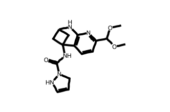 COC(OC)c1ccc2c(n1)NC1CC2(NC(=O)N2CC=CN2)C1